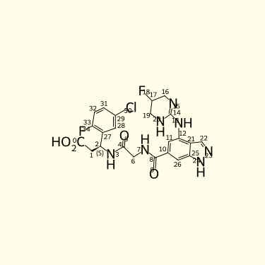 O=C(O)C[C@H](NC(=O)CNC(=O)c1cc(NC2=NCC(F)CN2)c2cn[nH]c2c1)c1cc(Cl)ccc1F